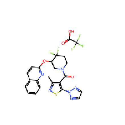 Cc1nsc(-n2nccn2)c1C(=O)N1CCC(F)(F)C(Oc2ccc3ccccc3n2)C1.O=C(O)C(F)(F)F